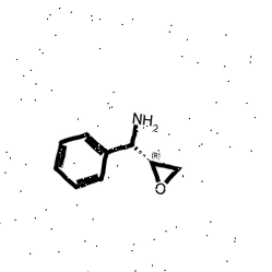 NC(c1ccccc1)[C@@H]1CO1